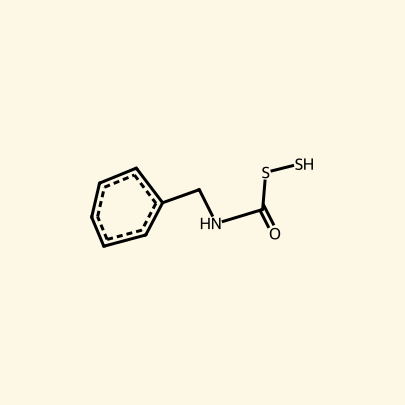 O=C(NCc1ccccc1)SS